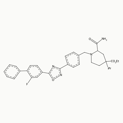 CCOC(=O)C1(C(C)C)CCN(Cc2ccc(-c3noc(-c4ccc(-c5ccccc5)c(F)c4)n3)cc2)C(C(N)=O)C1